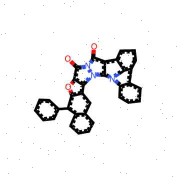 O=c1c2oc3c(-c4ccccc4)c4ccccc4cc3c2n2c3c(c(=O)n12)c1cccc2c4ccccc4n3c21